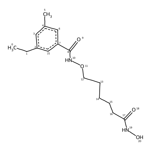 CCc1cc(C)cc(C(=O)NOCCCCCC(=O)NO)c1